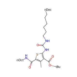 CCCCCCCCCCCCCCCCNC(=O)Nc1sc(C(=O)NCCCCCCCC)c(C)c1C(=O)OC(C)(C)C